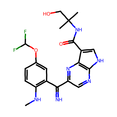 CNc1ccc(OC(F)F)cc1C(=N)c1cnc2[nH]cc(C(=O)NC(C)(C)CO)c2n1